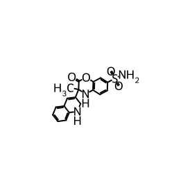 CC1(C2=Cc3ccccc3NC2)Nc2ccc(S(N)(=O)=O)cc2OC1=O